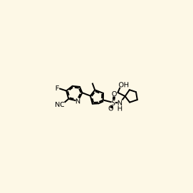 Cc1cc(S(=O)(=O)NC2(CO)CCCC2)ccc1-c1ccc(F)c(C#N)n1